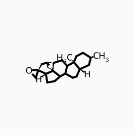 C[C@@H]1CC[C@]2(C)C3CC[C@]45CCC[C@]6(CO6)[C@H]4CCC5C3CC[C@H]2C1